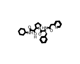 O=C(Cc1ccccn1)N[C@@H](Cc1ccccc1)C(=O)N1CCCC1C(O)C(=O)NC1CCCCC1